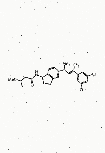 COC(C)CC(=O)NC1CCc2cc(C(N)/C=C(/c3cc(Cl)cc(Cl)c3)C(F)(F)F)ccc21